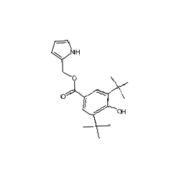 CC(C)(C)c1cc(C(=O)OCc2ccc[nH]2)cc(C(C)(C)C)c1O